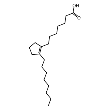 CCCCCCCCC1=C(CCCCCCC(=O)O)CCC1